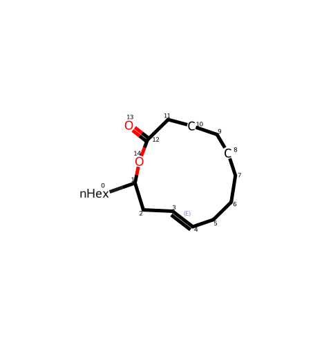 CCCCCCC1C/C=C/CCCCCCCC(=O)O1